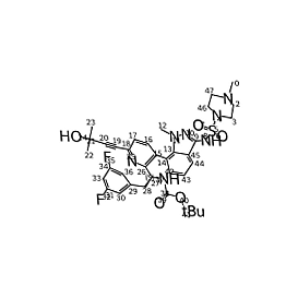 CN1CCN(S(=O)(=O)Nc2nn(C)c3c(-c4ccc(C#CC(C)(C)O)nc4[C@H](Cc4cc(F)cc(F)c4)NC(=O)OC(C)(C)C)cccc23)CC1